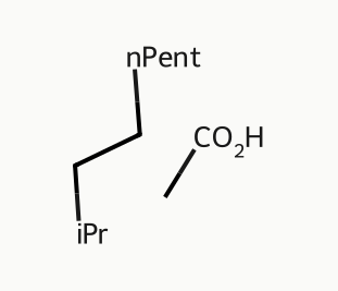 CC(=O)O.CCCCCCCC(C)C